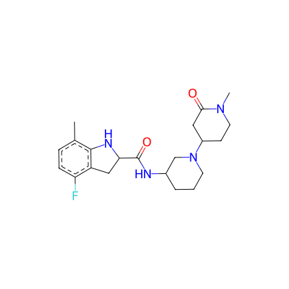 Cc1ccc(F)c2c1NC(C(=O)NC1CCCN(C3CCN(C)C(=O)C3)C1)C2